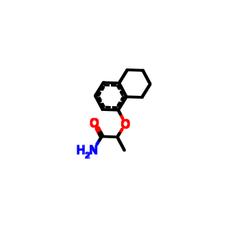 CC(Oc1cccc2c1CCCC2)C(N)=O